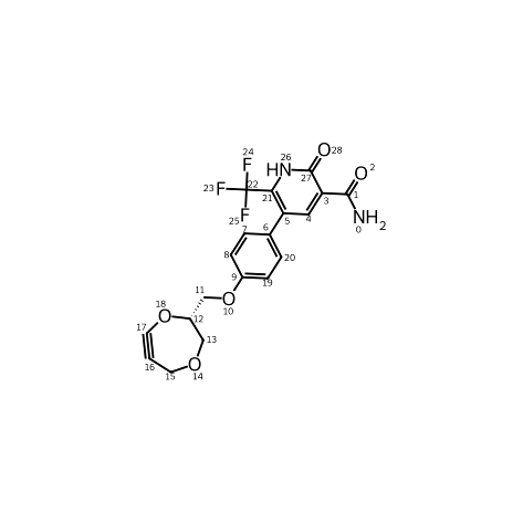 NC(=O)c1cc(-c2ccc(OC[C@@H]3COCC#CO3)cc2)c(C(F)(F)F)[nH]c1=O